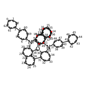 c1ccc(-c2ccc(N(c3ccc4ccccc4c3)c3ccc4cccc5c4c3Oc3c-5cccc3N(c3ccc(-c4ccccc4)cc3)c3cccc4ccccc34)cc2)cc1